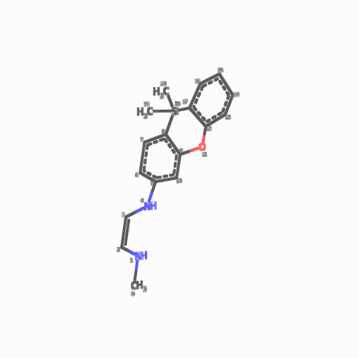 CN/C=C\Nc1ccc2c(c1)Oc1ccccc1[Si]2(C)C